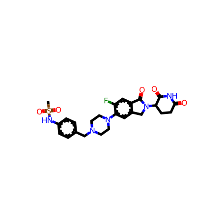 CS(=O)(=O)Nc1ccc(CN2CCN(c3cc4c(cc3F)C(=O)N(C3CCC(=O)NC3=O)C4)CC2)cc1